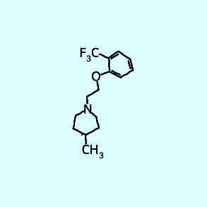 C[C]1CCN(CCOc2ccccc2C(F)(F)F)CC1